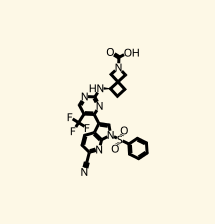 N#Cc1ccc2c(-c3nc(N[C@@H]4CCC45CN(C(=O)O)C5)ncc3C(F)(F)F)cn(S(=O)(=O)c3ccccc3)c2n1